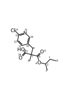 CCC(C)OC(=O)C(C)(Cc1ccc(Cl)nc1)C(=O)O